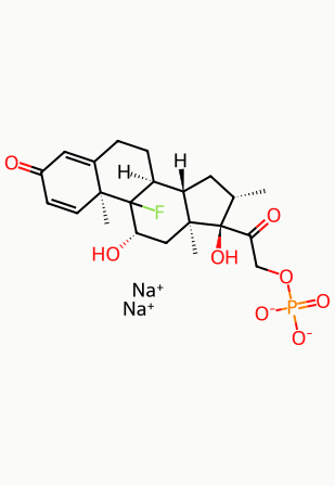 C[C@H]1C[C@H]2[C@@H]3CCC4=CC(=O)C=C[C@]4(C)C3(F)[C@@H](O)C[C@]2(C)[C@@]1(O)C(=O)COP(=O)([O-])[O-].[Na+].[Na+]